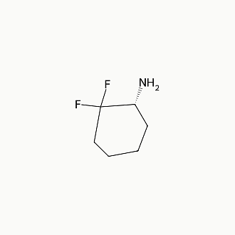 N[C@@H]1CCCCC1(F)F